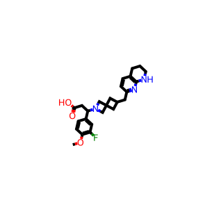 COc1ccc(C(CC(=O)O)N2CC3(CC(Cc4ccc5c(n4)NCCC5)C3)C2)cc1F